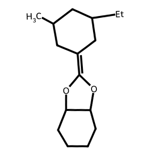 CCC1CC(=C2OC3CCCCC3O2)CC(C)C1